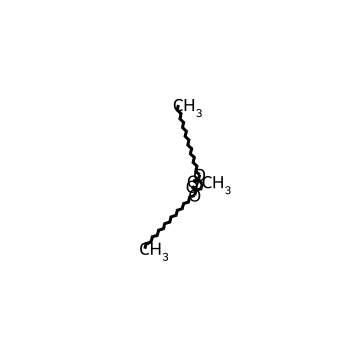 CCCCCCCCCCCCCCCCOC(=O)CC(C)C(=O)OCCCCCCCCCCCCCCCC